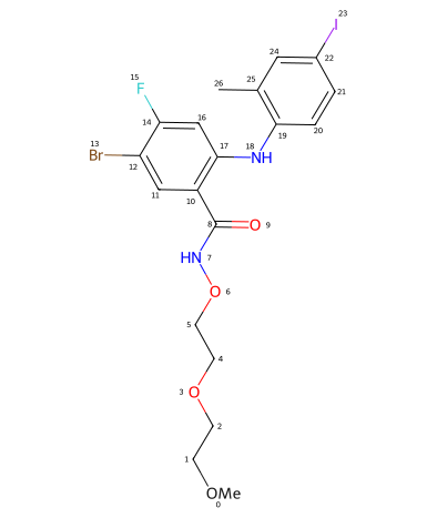 COCCOCCONC(=O)c1cc(Br)c(F)cc1Nc1ccc(I)cc1C